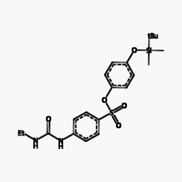 CCNC(=O)Nc1ccc(S(=O)(=O)Oc2ccc(O[Si](C)(C)C(C)(C)C)cc2)cc1